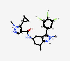 CC1CC(NC(=O)c2cnn(C)c2C2CC2)Cc2c1nn(C)c2-c1cc(F)c(F)c(F)c1